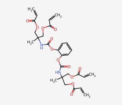 C=CC(=O)OCC(C)(COC(=O)C=C)NC(=O)Oc1ccccc1OC(=O)NC(C)(COC(=O)C=C)COC(=O)C=C